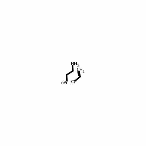 C=CCl.CCCCCN